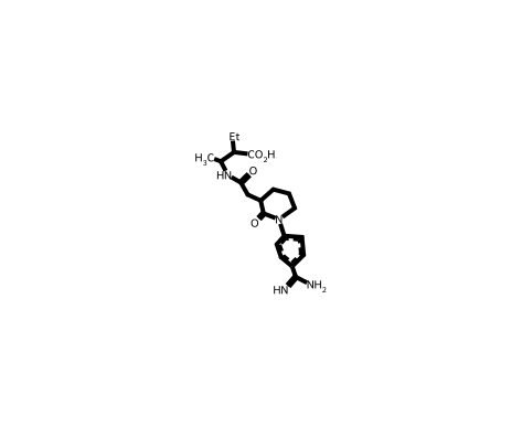 CCC(C(=O)O)C(C)NC(=O)CC1CCCN(c2ccc(C(=N)N)cc2)C1=O